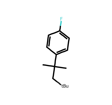 CC(C)(C)CC(C)(C)c1ccc(F)cc1